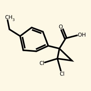 CCc1ccc(C2(C(=O)O)CC2(Cl)Cl)cc1